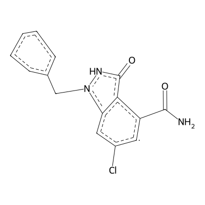 NC(=O)c1[c]c(Cl)cc2c1c(=O)[nH]n2Cc1ccccc1